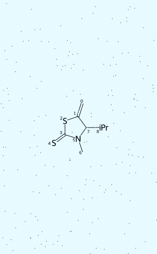 C=C1SC(=S)N(C)C1C(C)C